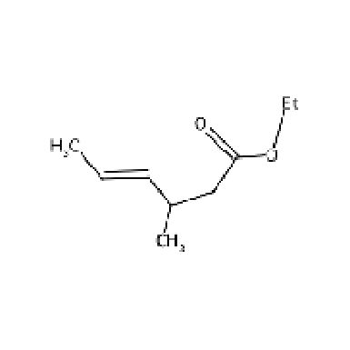 CC=CC(C)CC(=O)OCC